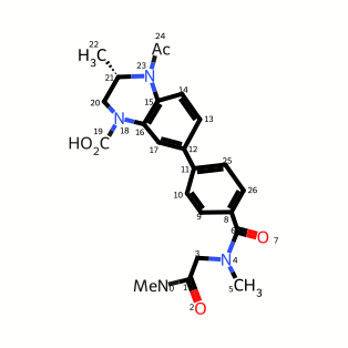 CNC(=O)CN(C)C(=O)c1ccc(-c2ccc3c(c2)N(C(=O)O)C[C@H](C)N3C(C)=O)cc1